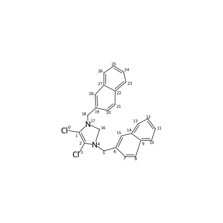 ClC1=C(Cl)N(Cc2ccc3ccccc3c2)CN1Cc1ccc2ccccc2c1